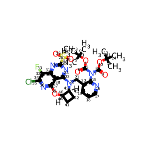 CC(C)(C)OC(=O)N(C(=O)OC(C)(C)C)c1ncccc1CN1c2nc(S(C)(=O)=O)nc3c(F)c(Cl)nc(c23)O[C@@H]2CC[C@@H]21